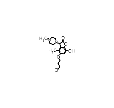 Cc1c(OCCCCl)cc(O)c2c1C(N1CCN(C)CC1)C(=O)O2